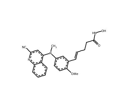 COc1ccc(N(C)c2cc(C#N)nc3ccccc23)cc1/C=C/CCC(=O)NO